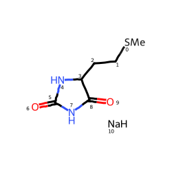 CSCCC1NC(=O)NC1=O.[NaH]